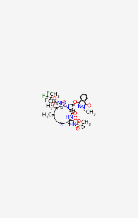 CCn1nc(O[C@@H]2C[C@H]3C(=O)N[C@]4(C(=O)NS(=O)(=O)C5(C)CC5)CC4/C=C\CC[C@@H](C)C[C@@H](C)[C@H](NC(=O)OC(C)(C)C(F)(F)F)C(=O)N3C2)c2ccccc2c1=O